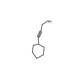 CC(C)COCC#CC1CCCCC1